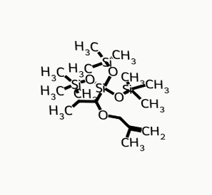 C=C(C)COC(CC)[Si](O[Si](C)(C)C)(O[Si](C)(C)C)O[Si](C)(C)C